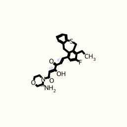 CCc1c(F)cc(/C=C/C(=O)/C(O)=C/C(=O)N2CCOC[C@H]2N)c2c1CSc1ccccc1C2